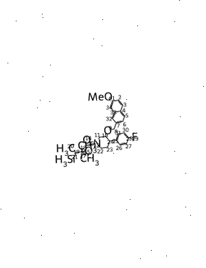 COc1ccc2ccc(COC3CN(C(=O)OC(C)(C)C(C)[SiH3])CCC3c3ccc(F)cc3)cc2c1